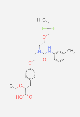 CCOC(Cc1ccc(OCCN(CCOCC(F)(F)CC)C(=O)Nc2cccc(C)c2)cc1)C(=O)O